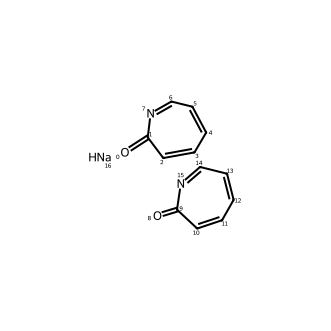 O=c1cccccn1.O=c1cccccn1.[NaH]